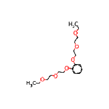 CCOCCOCCOc1[c]cccc1OCCOCCOCC